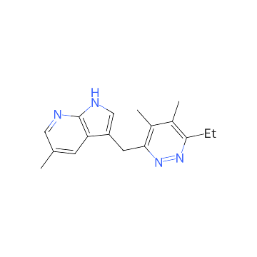 CCc1nnc(Cc2c[nH]c3ncc(C)cc23)c(C)c1C